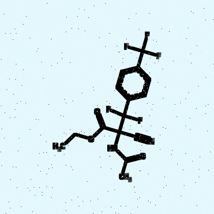 CCOC(=O)C(C#N)(NC(C)=O)C(F)(F)c1ccc(C(F)(F)F)cc1